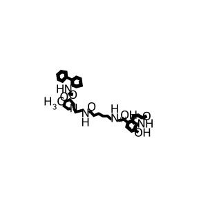 CC1(OC(=O)Nc2ccccc2-c2ccccc2)CCN(CCNC(=O)CCCCCNC[C@H](O)c2ccc(O)c3[nH]c(=O)ccc23)CC1